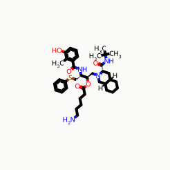 Cc1c(O)cccc1C(=O)N[C@@H](CSc1ccccc1)[C@@H](CN1C[C@H]2CCCC[C@H]2C[C@H]1C(=O)NC(C)(C)C)OC(=O)CCCCCN